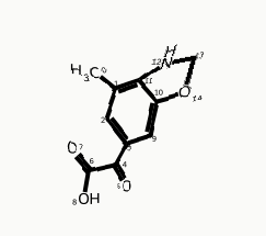 Cc1cc(C(=O)C(=O)O)cc2c1NCO2